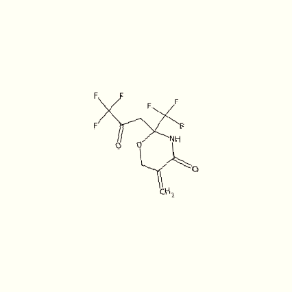 C=C1COC(CC(=O)C(F)(F)F)(C(F)(F)F)NC1=O